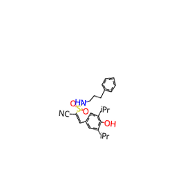 CC(C)c1cc(/C=C(/C#N)S(=O)(=O)NCCCc2ccccc2)cc(C(C)C)c1O